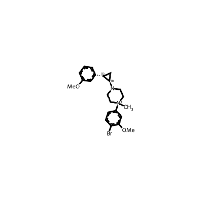 COc1cccc([C@@H]2C[C@H]2N2CC[N+](C)(c3ccc(Br)c(OC)c3)CC2)c1